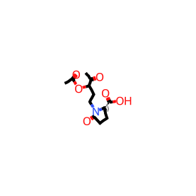 CC(=O)OC(CCN1C(=O)CC[C@H]1C(=O)O)C(C)=O